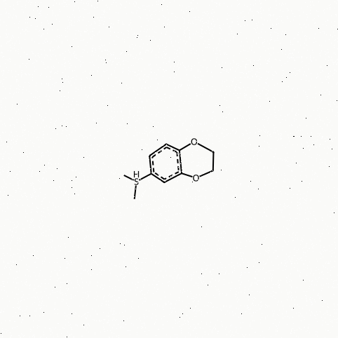 C[SH](C)c1ccc2c(c1)OCCO2